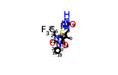 Cc1c(Cn2nc[nH]c2=O)sc2c1c(=O)n(C1CCCC1)c(=O)n2CCC(F)(F)F